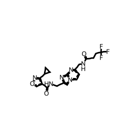 O=C(CCC(F)(F)F)NCc1ccn2cc(CNC(=O)c3conc3C3CC3)nc2n1